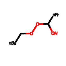 CCCCCOOC(O)CCC